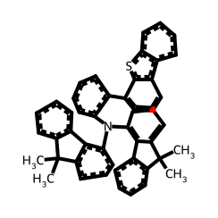 CC1(C)C2=CCCC(N(c3ccccc3C3=C=C=Cc4c3sc3ccccc43)c3cccc4c3-c3ccccc3C4(C)C)=C2c2ccccc21